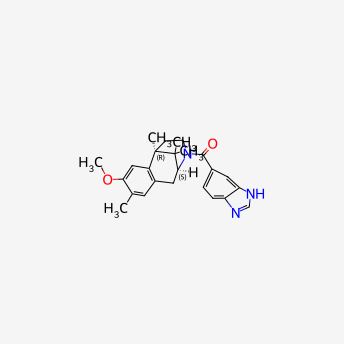 COc1cc2c(cc1C)C[C@@H]1N(C(=O)c3ccc4nc[nH]c4c3)CC[C@@]2(C)C1(C)C